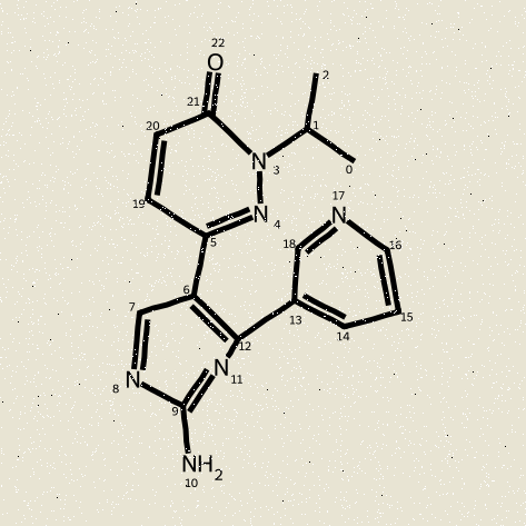 CC(C)n1nc(-c2cnc(N)nc2-c2cccnc2)ccc1=O